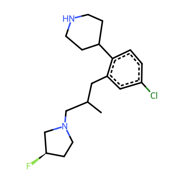 CC(Cc1cc(Cl)ccc1C1CCNCC1)CN1CC[C@@H](F)C1